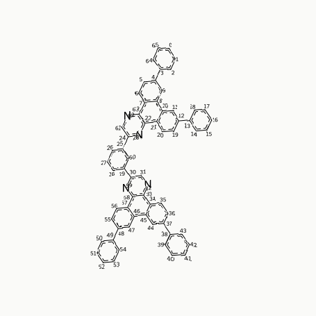 c1ccc(-c2ccc3c(c2)c2cc(-c4ccccc4)ccc2c2nc(-c4cccc(-c5cnc6c7ccc(-c8ccccc8)cc7c7cc(-c8ccccc8)ccc7c6n5)c4)cnc32)cc1